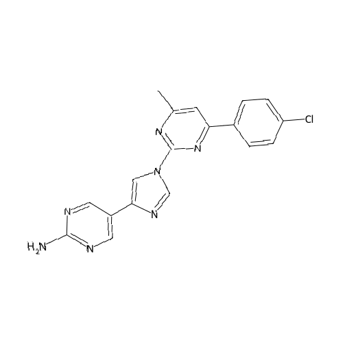 Cc1cc(-c2ccc(Cl)cc2)nc(-n2cnc(-c3cnc(N)nc3)c2)n1